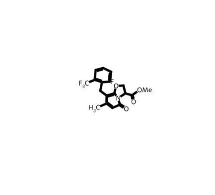 COC(=O)C1COc2c(Cc3c(F)cccc3C(F)(F)F)c(C)cc(=O)n21